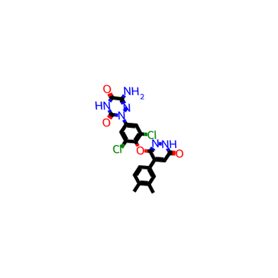 Cc1ccc(-c2cc(=O)[nH]nc2Oc2c(Cl)cc(-n3nc(N)c(=O)[nH]c3=O)cc2Cl)cc1C